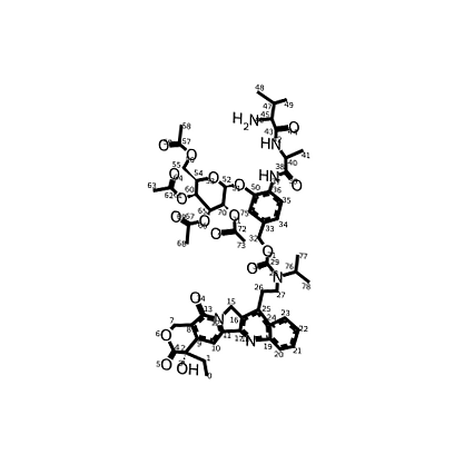 CC[C@@]1(O)C(=O)OCc2c1cc1n(c2=O)Cc2c-1nc1ccccc1c2CCN(C(=O)OCc1ccc(NC(=O)C(C)NC(=O)C(N)C(C)C)c(O[C@@H]2O[C@H](COC(C)=O)[C@H](OC(C)=O)[C@H](OC(C)=O)[C@H]2OC(C)=O)c1)C(C)C